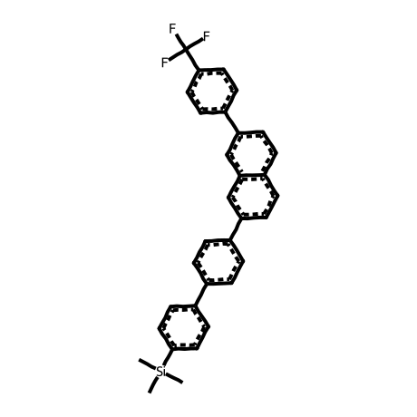 C[Si](C)(C)c1ccc(-c2ccc(-c3ccc4ccc(-c5ccc(C(F)(F)F)cc5)cc4c3)cc2)cc1